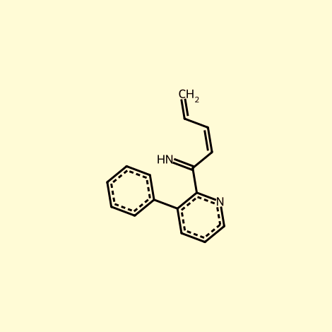 C=C/C=C\C(=N)c1ncccc1-c1ccccc1